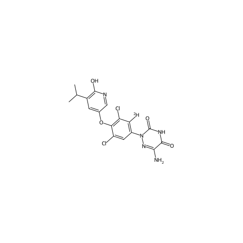 [2H]c1c(-n2nc(N)c(=O)[nH]c2=O)cc(Cl)c(Oc2cnc(O)c(C(C)C)c2)c1Cl